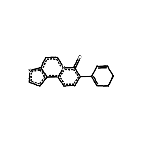 O=c1c(C2=CCCC=C2)ccc2c3ccsc3ccn12